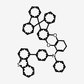 C1=C(N(c2ccccc2)c2ccc(-c3cccc4sc5ccccc5c34)cc2)C2=C(CC1)Oc1c(ccc3c1-c1ccccc1C31c3ccccc3-c3ccccc31)O2